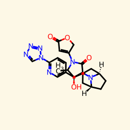 CC1CC2(C[C@H]3CC[C@H](C2)N3C[C@@H](O)c2ccc(-n3cnnn3)nc2)C(=O)N1C1=CC(=O)OC1